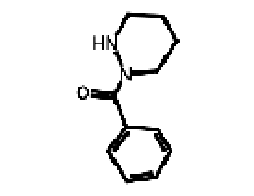 O=C(c1ccccc1)N1CCCCN1